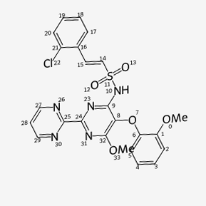 COc1ccccc1Oc1c(NS(=O)(=O)C=Cc2ccccc2Cl)nc(-c2ncccn2)nc1OC